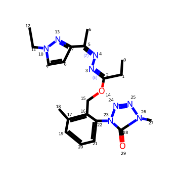 CC/C(=N\N=C(\C)c1ccn(CC)n1)OCc1c(C)cccc1-n1nnn(C)c1=O